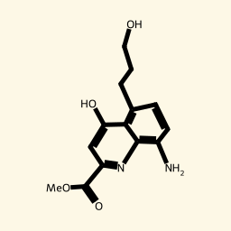 COC(=O)c1cc(O)c2c(CCCO)ccc(N)c2n1